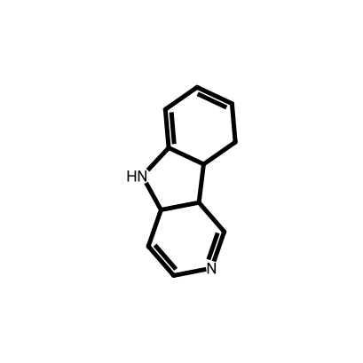 C1=CCC2C(=C1)NC1C=CN=CC12